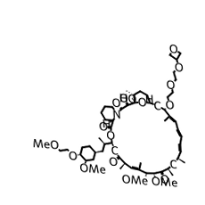 COCCO[C@@H]1CC[C@@H](C[C@@H](C)[C@@H]2CC(=O)[C@H](C)/C=C(\C)[C@@H](OC)[C@@H](OC)C(=O)[C@H](C)C[C@H](C)/C=C/C=C/C=C(\C)[C@@H](OCCOCCOC3COC3)C[C@@H]3CC[C@@H](C)[C@@](O)(O3)C(=O)C(=O)N3CCCC[C@H]3C(=O)O2)C[C@H]1OC